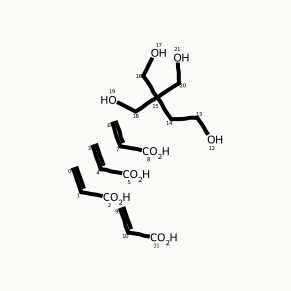 C=CC(=O)O.C=CC(=O)O.C=CC(=O)O.C=CC(=O)O.OCCC(CO)(CO)CO